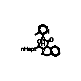 CCCCCCCC(=O)N1CCc2ccccc2C1C(=O)Nc1ncccc1C